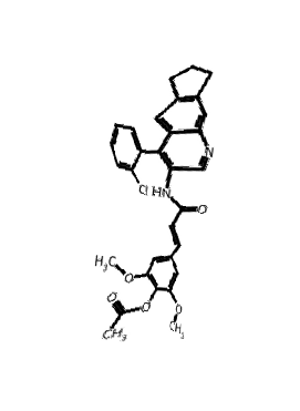 COc1cc(C=CC(=O)Nc2cnc3cc4c(cc3c2-c2ccccc2Cl)CCC4)cc(OC)c1OC(C)=O